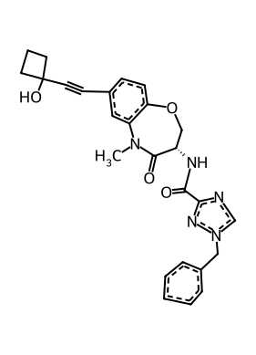 CN1C(=O)[C@@H](NC(=O)c2ncn(Cc3ccccc3)n2)COc2ccc(C#CC3(O)CCC3)cc21